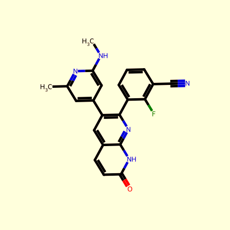 CNc1cc(-c2cc3ccc(=O)[nH]c3nc2-c2cccc(C#N)c2F)cc(C)n1